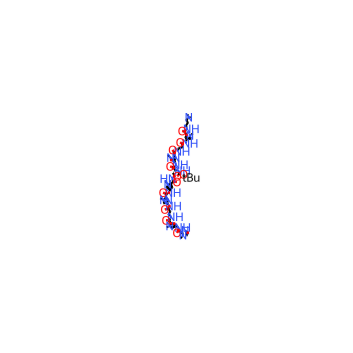 CN(C)CCCNC(=O)c1cc(NC(=O)CCNC(=O)c2nc(NC(=O)[C@@H](CCNC(=O)c3cc(NC(=O)c4nc(NC(=O)CCNC(=O)c5cc(NC(=O)c6nccn6C)cn5C)cn4C)cn3C)NC(=O)OC(C)(C)C)cn2C)cn1C